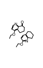 CCOc1ccc2c(n1)CCCC2.CCOc1ccnc2c1CCCC2=O